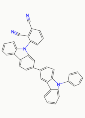 N#Cc1cccc(-n2c3ccccc3c3ccc(-c4ccc5c(c4)c4ccccc4n5-c4ccccc4)cc32)c1C#N